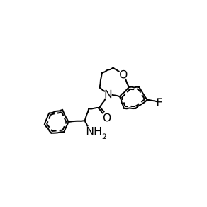 NC(CC(=O)N1CCCOc2cc(F)ccc21)c1ccccc1